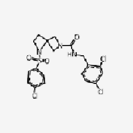 O=C(NCc1ccc(Cl)cc1Cl)N1CC2(CCN2S(=O)(=O)c2ccc(Cl)cc2)C1